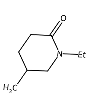 CCN1CC(C)CCC1=O